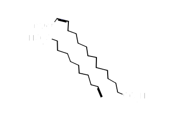 C=CCCCCCCCCC(=O)O.CCCCCCCC/C=C\CCCCCCCCCCCC(=O)O